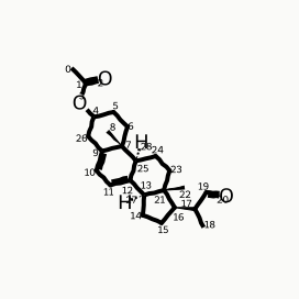 CC(=O)OC1CC[C@@]2(C)C(=CC=C3[C@@H]4CC[C@H](C(C)C=O)[C@@]4(C)CC[C@@H]32)C1